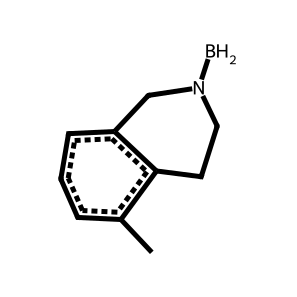 BN1CCc2c(C)cccc2C1